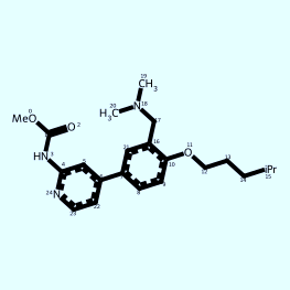 COC(=O)Nc1cc(-c2ccc(OCCCC(C)C)c(CN(C)C)c2)ccn1